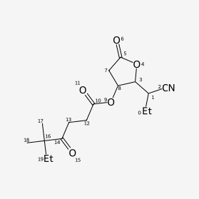 CCC(C#N)C1OC(=O)CC1OC(=O)CCC(=O)C(C)(C)CC